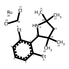 CCc1cccc(CC)c1C1NC(C)(C)CC1(C)C.ClCCl.[Ru]